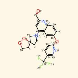 O=Cc1cc(N2CCC3(CCOO3)C2)c2cc(Oc3ccc(C(F)(F)F)cn3)ccc2n1